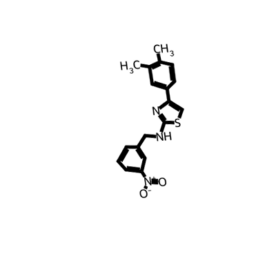 Cc1ccc(-c2csc(NCc3cccc([N+](=O)[O-])c3)n2)cc1C